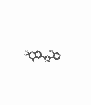 CCC1(CC)CC(=O)c2cc(-c3nc(-c4ccncc4O)no3)ccc2O1